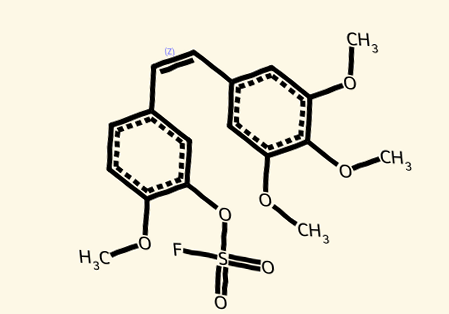 COc1ccc(/C=C\c2cc(OC)c(OC)c(OC)c2)cc1OS(=O)(=O)F